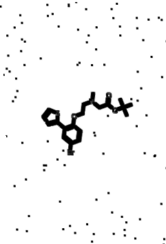 CN(CCOc1ccc(Br)cc1-c1cccs1)CC(=O)OC(C)(C)C